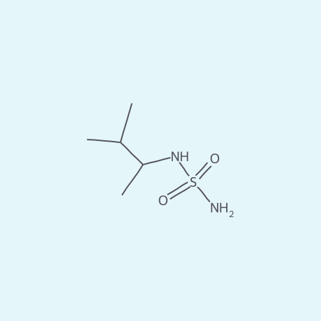 CC(C)C(C)NS(N)(=O)=O